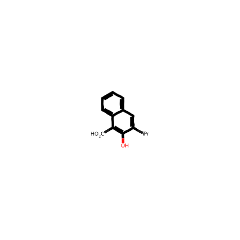 CC(C)c1cc2ccccc2c(C(=O)O)c1O